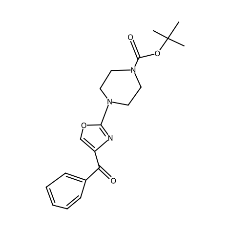 CC(C)(C)OC(=O)N1CCN(c2nc(C(=O)c3ccccc3)co2)CC1